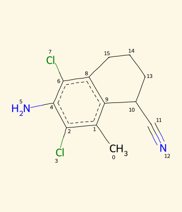 Cc1c(Cl)c(N)c(Cl)c2c1C(C#N)CCC2